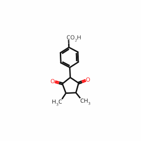 CC1C(=O)C(c2ccc(C(=O)O)cc2)C(=O)C1C